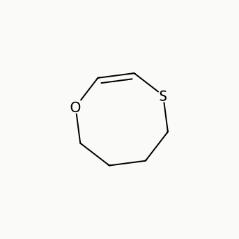 C1=C\SCCCCO/1